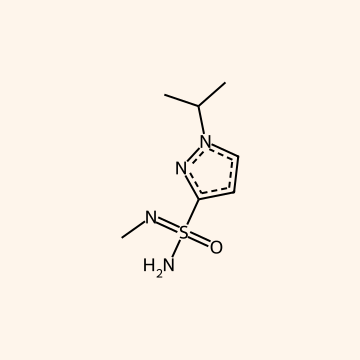 CN=S(N)(=O)c1ccn(C(C)C)n1